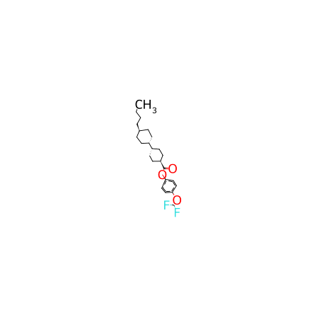 CCCC[C@H]1CC[C@H]([C@H]2CC[C@H](C(=O)Oc3ccc(OC(F)F)cc3)CC2)CC1